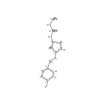 Cc1ccc(SCc2nc(CNCC(C)C)cs2)cc1